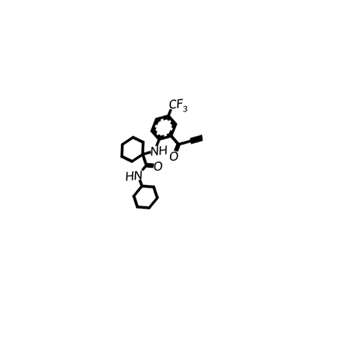 C#CC(=O)c1cc(C(F)(F)F)ccc1NC1(C(=O)NC2CCCCC2)CCCCC1